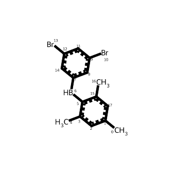 Cc1cc(C)c(Bc2cc(Br)cc(Br)c2)c(C)c1